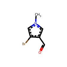 Cn1cc(Br)c(C=O)c1